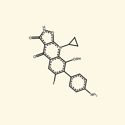 COc1c(-c2ccc(N)cc2)c(F)cc2c(=O)c3c(=O)[nH]sc3n(C3CC3)c12